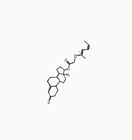 C/C=C\C=C(/C)OCC(=O)OC1CCC2C3CCC4=CC(=O)CCC4C3CCC12CC